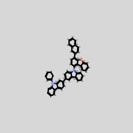 C1=CCCC(n2c3ccccc3c3ccc(-c4ccc5c(c4)c4ccccc4n5-c4ccc(-c5ccc6ccccc6c5)c5oc6ccccc6c45)cc32)=C1